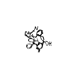 Cc1cc(C(=O)O)cc(C(=O)O)c1.N#Cc1nccn1Cc1ccccc1